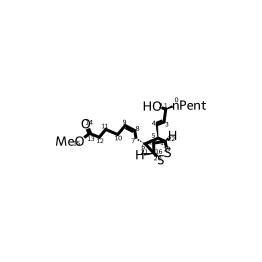 CCCCC[C@H](O)/C=C/[C@@H]1[C@@H](C/C=C\CCCC(=O)OC)[C@@H]2C[C@H]1SS2